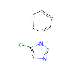 Clc1cncn1-c1ccccc1